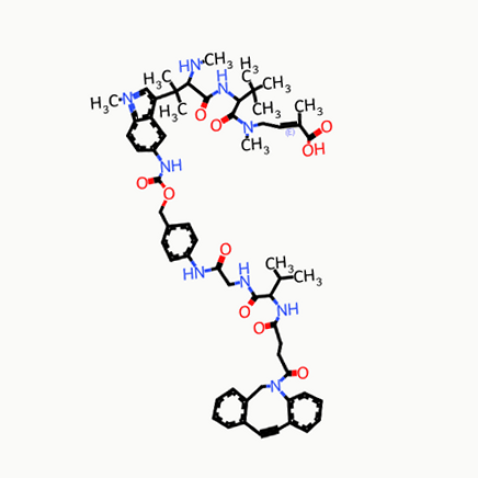 CNC(C(=O)NC(C(=O)N(C)C/C=C(\C)C(=O)O)C(C)(C)C)C(C)(C)c1cn(C)c2ccc(NC(=O)OCc3ccc(NC(=O)CNC(=O)C(NC(=O)CCC(=O)N4Cc5ccccc5C#Cc5ccccc54)C(C)C)cc3)cc12